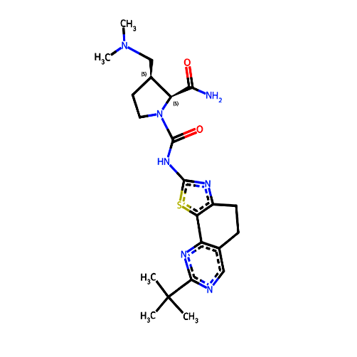 CN(C)C[C@@H]1CCN(C(=O)Nc2nc3c(s2)-c2nc(C(C)(C)C)ncc2CC3)[C@@H]1C(N)=O